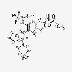 CCS(=O)(=O)Nc1ccc(C(=O)Nc2cc3c(c(N4CCC(F)(F)CC4)c2)OCC3)c(-c2ccc(C(F)(F)F)cc2)c1